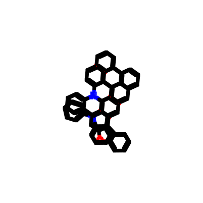 c1ccc(-c2cccc3cccc(-c4ccccc4N(c4ccccc4-c4ccc5c(c4)oc4ccccc45)c4cccc5c6ccccc6n(-c6ccccc6)c45)c23)cc1